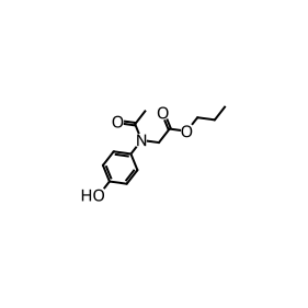 CCCOC(=O)CN(C(C)=O)c1ccc(O)cc1